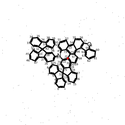 c1ccc2c(c1)-c1ccccc1C21c2ccccc2-c2ccc(N(c3ccc4c(c3)C3(c5ccccc5-c5ccccc53)c3ccccc3-4)c3cccc4c5ccc6oc7ccccc7c6c5c5ccccc5c34)cc21